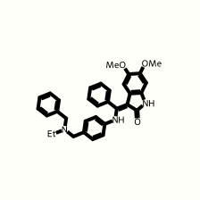 CCN(Cc1ccccc1)Cc1ccc(N/C(=C2\C(=O)Nc3cc(OC)c(OC)cc32)c2ccccc2)cc1